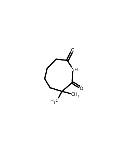 CC1(C)CCCCC(=O)NC1=O